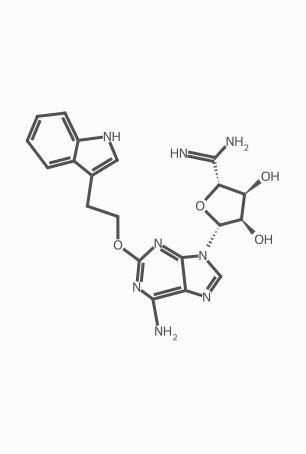 N=C(N)[C@H]1O[C@@H](n2cnc3c(N)nc(OCCc4c[nH]c5ccccc45)nc32)[C@H](O)[C@@H]1O